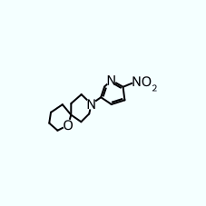 O=[N+]([O-])c1ccc(N2CCC3(CCCCO3)CC2)cn1